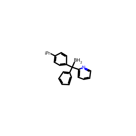 BC(c1ccccc1)(c1ccc(C(C)C)cc1)c1ccccn1